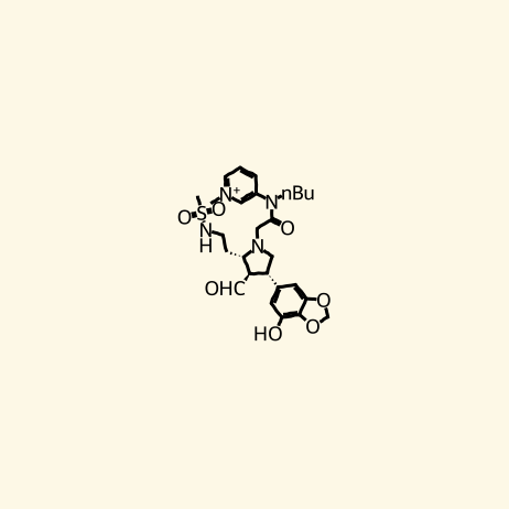 CCCCN(C(=O)CN1C[C@H](c2cc(O)c3c(c2)OCO3)[C@@H](C=O)[C@@H]1CCNS(C)(=O)=O)c1ccc[n+](C)c1